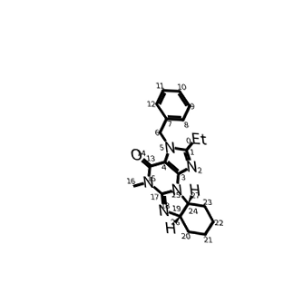 CCc1nc2c(n1Cc1ccccc1)C(=O)N(C)C1=N[C@H]3CCCC[C@H]3N12